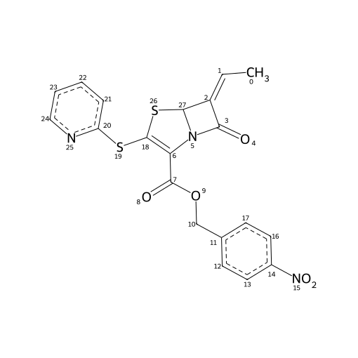 CC=C1C(=O)N2C(C(=O)OCc3ccc([N+](=O)[O-])cc3)=C(Sc3ccccn3)SC12